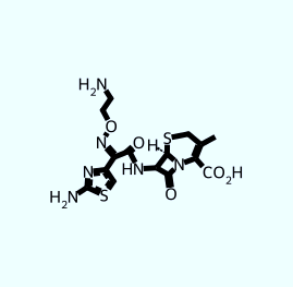 CC1=C(C(=O)O)N2C(=O)C(NC(=O)/C(=N\OCCN)c3csc(N)n3)[C@H]2SC1